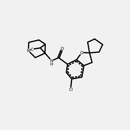 O=C(NC1CN2CCC1CC2)c1cc(Cl)cc2c1OC1(CCCC1)C2